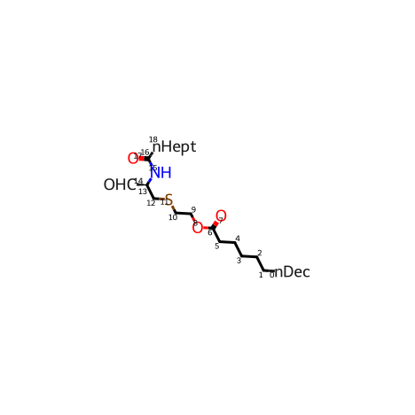 CCCCCCCCCCCCCCCC(=O)OCCSC[C@@H](C=O)NC(=O)CCCCCCC